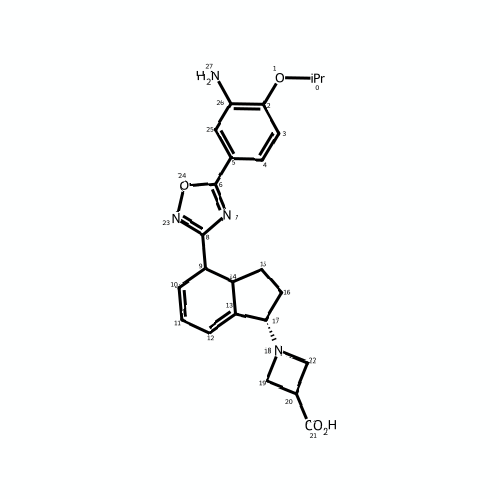 CC(C)Oc1ccc(-c2nc(C3C=CC=C4C3CC[C@@H]4N3CC(C(=O)O)C3)no2)cc1N